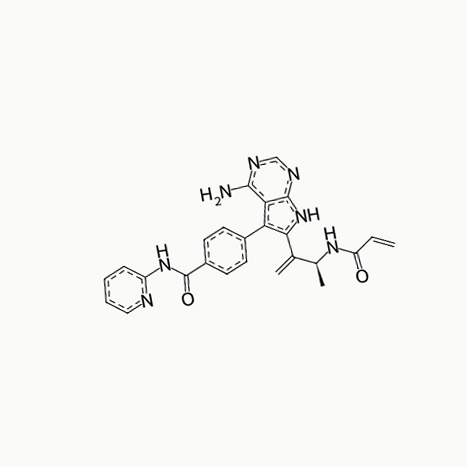 C=CC(=O)N[C@@H](C)C(=C)c1[nH]c2ncnc(N)c2c1-c1ccc(C(=O)Nc2ccccn2)cc1